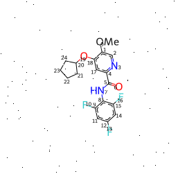 COc1cnc(C(=O)Nc2c(F)cc(F)cc2F)cc1OC1CCCC1